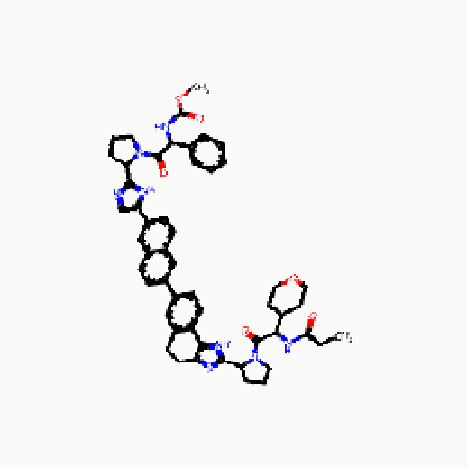 CCC(=O)NC(C(=O)N1CCCC1c1nc2c([nH]1)-c1ccc(-c3ccc4cc(-c5cnc(C6CCCN6C(=O)C(NC(=O)OC)c6ccccc6)[nH]5)ccc4c3)cc1CC2)C1CCOCC1